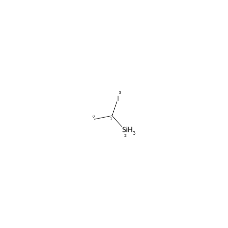 CC([SiH3])I